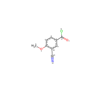 COc1ccc(C(=O)Cl)cc1C#N